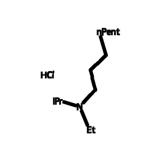 CCCCCCCCN(CC)C(C)C.Cl